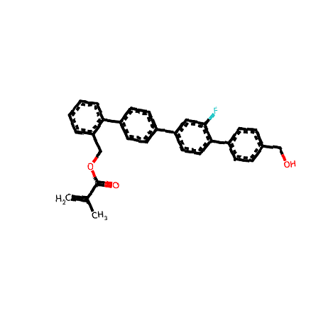 C=C(C)C(=O)OCc1ccccc1-c1ccc(-c2ccc(-c3ccc(CO)cc3)c(F)c2)cc1